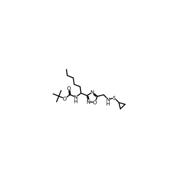 CCCCCC(NC(=O)OC(C)(C)C)c1noc(CNSC2CC2)n1